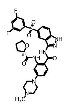 CN1CCN(c2ccc(C(=O)Nc3n[nH]c4ccc(S(=O)(=O)c5cc(F)cc(F)c5)cc34)c(NC(=O)[C@@H]3CCCO3)c2)CC1